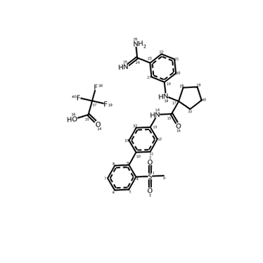 CS(=O)(=O)c1ccccc1-c1ccc(NC(=O)C2(Nc3cccc(C(=N)N)c3)CCCC2)cc1.O=C(O)C(F)(F)F